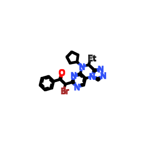 CCC1c2nncn2-c2cnc(C(Br)C(=O)c3ccccc3)nc2N1C1CCCC1